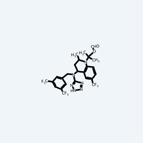 CC1CC(N(Cc2cc(C(F)(F)F)cc(C(F)(F)F)c2)c2nn[nH]n2)c2cc(C(F)(F)F)ccc2N1C(C)(C)OC=O